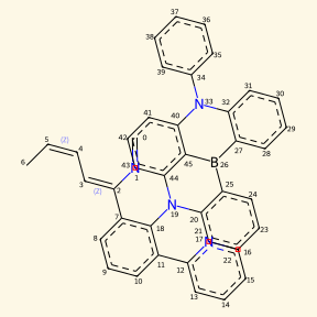 C=N/C(=C\C=C/C)c1cccc(-c2ccccn2)c1N1c2ccccc2B2c3ccccc3N(c3ccccc3)c3cccc1c32